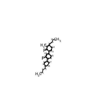 CCCCc1ccc(-c2ccc(-c3ccc(CCCC)c(C)c3F)cc2F)cc1